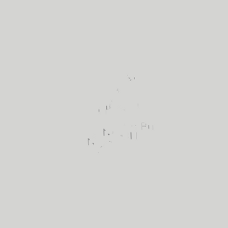 CCCCC(O)(Cn1ccnc1)c1ccc(Cl)cc1Cl